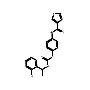 CC(NC(=S)Nc1ccc(NC(=O)c2cscn2)cc1)c1ccccc1Br